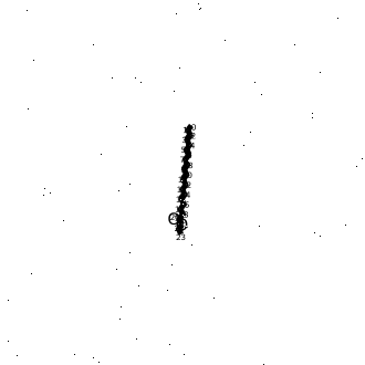 CC/C=C/C/C=C/C/C=C/C=C/CC/C=C/CCCC(=O)OCC